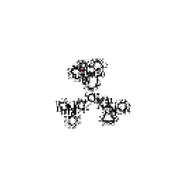 C=C1/C=C\C(c2cc(-c3ccc(N(c4ccccc4)c4ccccc4)cc3)cc(-c3ccc4c(c3)c3ccccc3n4-c3ccccc3)c2)=C/CN(c2ccccc2)c2c1c1ccccc1c1ccccc21